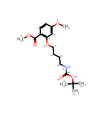 COC(=O)c1ccc(OC)cc1OCCCCNC(=O)OC(C)(C)C